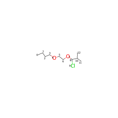 CCCCOCCOC(Cl)C(C)C